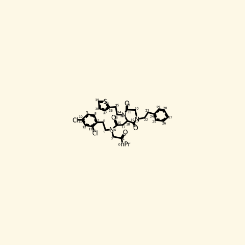 CCCC(=O)CN(CCc1ccc(Cl)cc1Cl)C(=O)CC1C(=O)N(CCc2ccccc2)CC(=O)N1CCc1cccs1